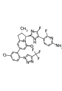 C[C@H]1Cc2cc(-c3cc(Cl)ccc3-n3cc(C(F)(F)F)nn3)cc(=O)n2[C@@H]1c1nc(F)c(-c2ccc(N)nc2F)[nH]1